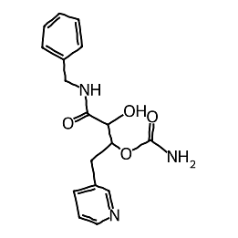 NC(=O)OC(Cc1cccnc1)C(O)C(=O)NCc1ccccc1